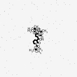 CC(C)(C)OC(=O)N1CCCC(C(O)C2CC(O[Si](C)(C)C(C)(C)C)CN2C(=O)OC(C)(C)C)C1=O